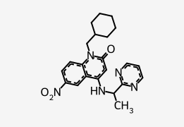 CC(Nc1cc(=O)n(CC2CCCCC2)c2ccc([N+](=O)[O-])cc12)c1ncccn1